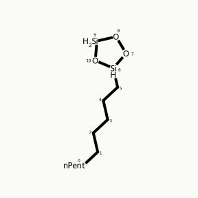 CCCCCCCCCC[SiH]1OO[SiH2]O1